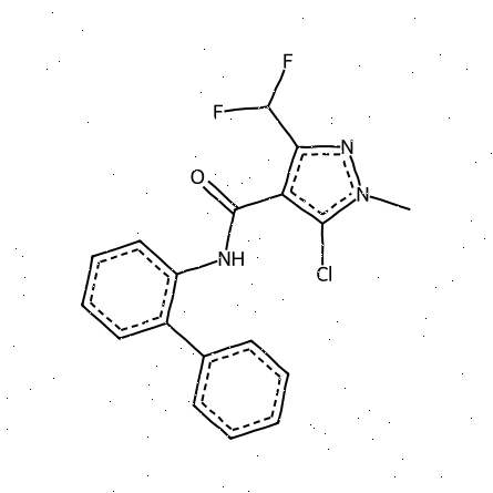 Cn1nc(C(F)F)c(C(=O)Nc2ccccc2-c2ccccc2)c1Cl